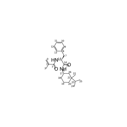 C=C(C)C(=O)N[C@@H](Cc1ccccc1)C(=O)NC1CCCC(C)(C(C)C)C1